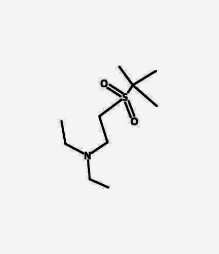 CCN(CC)CCS(=O)(=O)C(C)(C)C